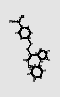 CCN(CC)c1ccc(CC/C(=N/O)c2ccoc2-c2ccncc2)cc1